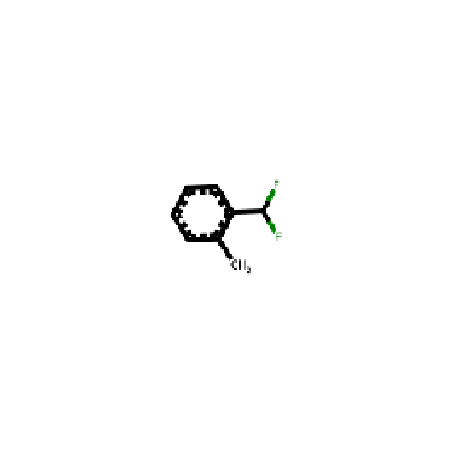 [CH2]c1ccccc1C(F)F